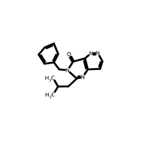 CC(C)Cc1nc2ccnnc2c(=O)n1Cc1ccccc1